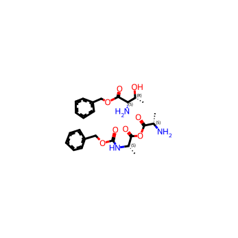 C[C@@H](O)[C@H](N)C(=O)OCc1ccccc1.C[C@H](N)C(=O)OC(=O)[C@H](C)NC(=O)OCc1ccccc1